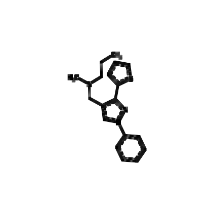 CCCN(C)Cc1cn(-c2ccccc2)nc1-c1cccs1